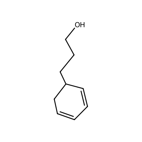 OCCCC1C=CC=CC1